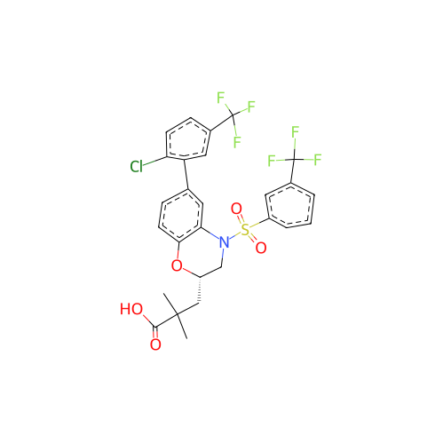 CC(C)(C[C@H]1CN(S(=O)(=O)c2cccc(C(F)(F)F)c2)c2cc(-c3cc(C(F)(F)F)ccc3Cl)ccc2O1)C(=O)O